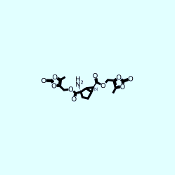 Cc1oc(=O)oc1COC(=O)[C@H]1C2CC[C@@](N)(C(=O)OCc3oc(=O)oc3C)C21